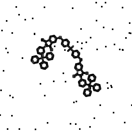 CC(C)(c1ccc(Oc2ccc3c(c2)C(=O)N(c2cccc([PH](c4ccccc4)(c4ccccc4)c4ccccc4)c2)C3=O)cc1)c1ccc(Oc2ccc3c(c2)C(=O)N(c2cccc([PH](c4ccccc4)(c4ccccc4)c4ccccc4)c2)C3=O)cc1